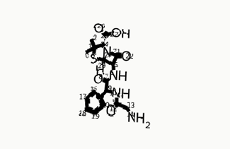 CC1(C)S[C@@H]2C(NC(=O)C(NC(=O)CN)c3ccccc3)C(=O)N2[C@H]1C(=O)O